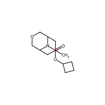 CC1CC2COCC(C1)N2C(=O)OC1CCC1